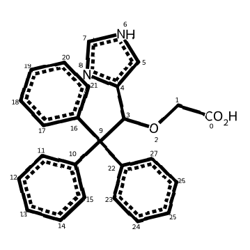 O=C(O)COC(c1c[nH]cn1)C(c1ccccc1)(c1ccccc1)c1ccccc1